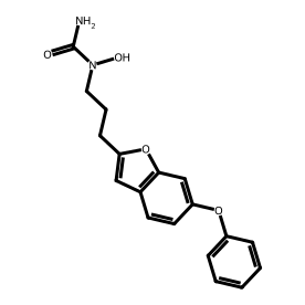 NC(=O)N(O)CCCc1cc2ccc(Oc3ccccc3)cc2o1